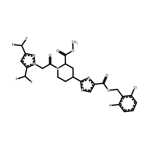 COC(=O)C1CC(c2nc(C(=O)OCc3c(F)cccc3Cl)cs2)CCN1C(=O)Cn1nc(C(F)F)cc1C(F)F